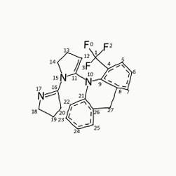 FC(F)(F)c1cccc2c1N(C1=CCCN1C1=NCCC1)c1ccccc1C2